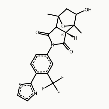 CC12CC(O)C(C)(O1)[C@@H]1C(=O)N(c3ccc(-c4nccs4)c(C(F)(F)F)c3)C(=O)C12